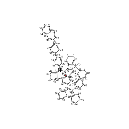 CC1(c2ccccc2)c2ccccc2-c2ccc(N(c3ccc(-c4ccc(-c5ccc6ccccc6c5)cc4)cc3)c3ccccc3-c3ccc4c(c3)c(-c3ccccc3)c(-c3ccccc3)c3ccccc34)cc21